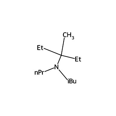 CCCN(C(C)CC)C(C)(CC)CC